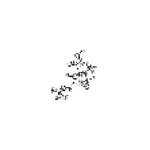 CO[C@H]1C[C@]2(CO2)[C@@H](C2(C)O[C@@H]2CCOC(F)(F)F)[C@H](OC)C1=O